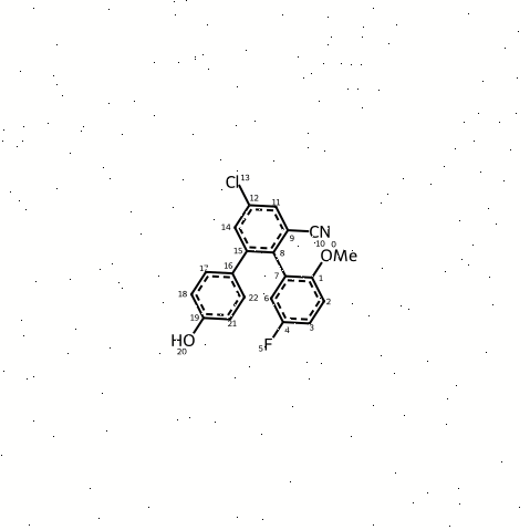 COc1ccc(F)cc1-c1c(C#N)cc(Cl)cc1-c1ccc(O)cc1